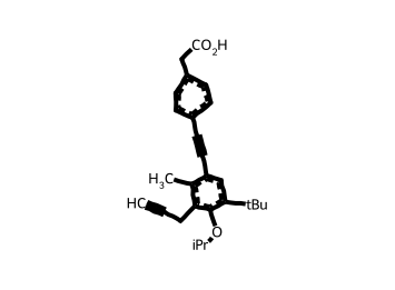 C#CCc1c(C)c(C#Cc2ccc(CC(=O)O)cc2)cc(C(C)(C)C)c1OC(C)C